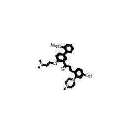 COc1ccccc1-c1ccc(OCCN(C)C)c(C(=O)C=Cc2ccc(O)cc2N2CCN(C)CC2)c1